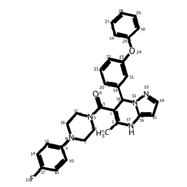 CC1=C(C(=O)N2CCN(c3ccc(F)cc3)CC2)C(c2cccc(Oc3ccccc3)c2)n2nccc2N1